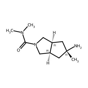 CN(C)C(=O)N1C[C@@H]2C[C@@](C)(N)C[C@@H]2C1